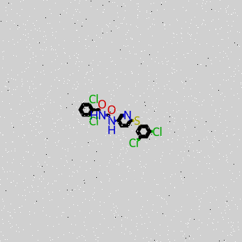 O=C(NC(=O)c1c(Cl)cccc1Cl)Nc1ccc(Sc2cc(Cl)cc(Cl)c2)nc1